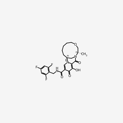 C[C@H]1COCCCCC[C@@H]2CN1C(=O)c1c(O)c(=O)c(C(=O)NCc3c(F)cc(F)cc3F)cn12